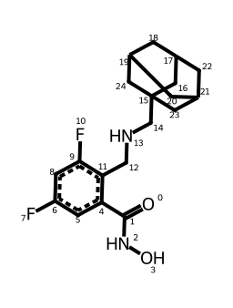 O=C(NO)c1cc(F)cc(F)c1CNCC12CC3CC(CC(C3)C1)C2